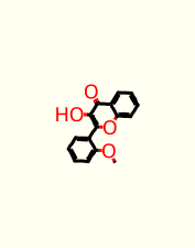 COc1ccccc1-c1oc2ccccc2c(=O)c1O